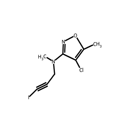 Cc1onc(N(C)CC#CI)c1Cl